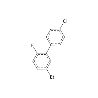 CCc1ccc(F)c(-c2ccc(Cl)cc2)c1